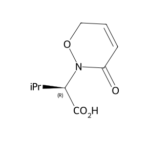 CC(C)[C@H](C(=O)O)N1OCC=CC1=O